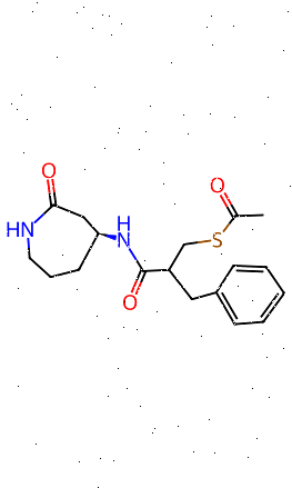 CC(=O)SCC(Cc1ccccc1)C(=O)N[C@H]1CCCNC(=O)C1